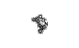 N#Cc1ccc(-c2cccc(CC3c4ccccc4-c4cc(-c5ccc6c(c5)c5ccccc5n6-c5ccccc5)ccc43)c2)cc1